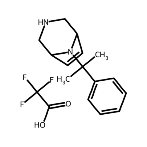 CC(C)(c1ccccc1)N1C2C=CC1CNC2.O=C(O)C(F)(F)F